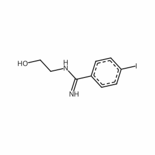 N=C(NCCO)c1ccc(I)cc1